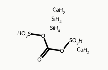 O=C(OS(=O)(=O)O)OS(=O)(=O)O.[CaH2].[CaH2].[SiH4].[SiH4]